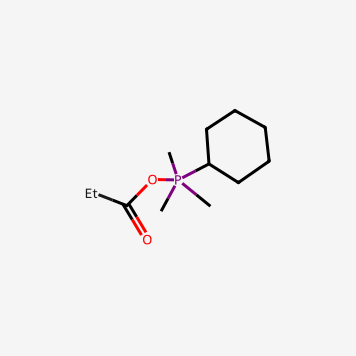 CCC(=O)OP(C)(C)(C)C1CCCCC1